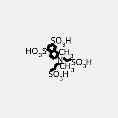 C/C(CCCS(=O)(=O)O)=[N+](\CCCS(=O)(=O)O)c1ccc2c(S(=O)(=O)O)cc(S(=O)(=O)O)cc2c1C